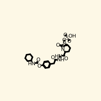 O=C(Cc1ccc(OC(=O)NC2CCCCC2)cc1)NNC(=O)C1CCC2CN1C(=O)N2OS(=O)(=O)O